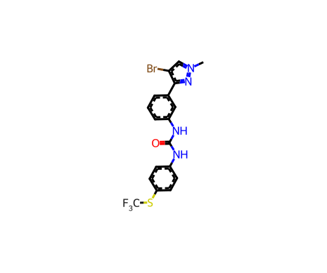 Cn1cc(Br)c(-c2cccc(NC(=O)Nc3ccc(SC(F)(F)F)cc3)c2)n1